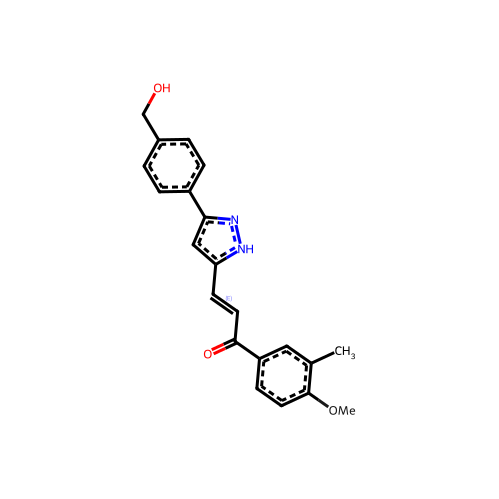 COc1ccc(C(=O)/C=C/c2cc(-c3ccc(CO)cc3)n[nH]2)cc1C